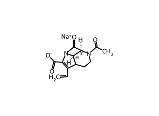 C=CC1=C(C(=O)[O-])N2C(=O)[C@@H]3[C@H]2C1CCN3C(C)=O.[Na+]